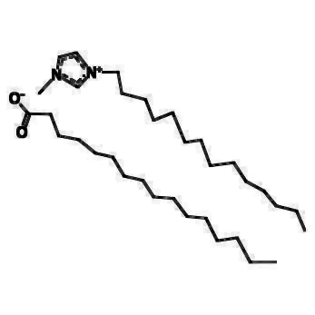 CCCCCCCCCCCCCCCC(=O)[O-].CCCCCCCCCCCCCC[n+]1ccn(C)c1